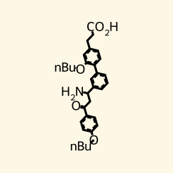 CCCCOc1ccc(C(=O)CC(N)c2cccc(-c3ccc(CCC(=O)O)cc3OCCCC)c2)cc1